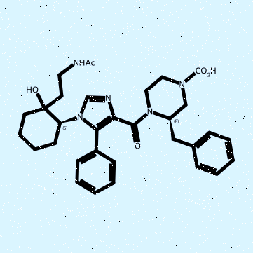 CC(=O)NCCC1(O)CCCC[C@@H]1n1cnc(C(=O)N2CCN(C(=O)O)C[C@H]2Cc2ccccc2)c1-c1ccccc1